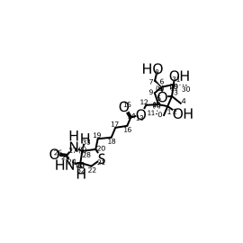 CC1(O)C2(C)O[C@](CO)(C[C@]1(C)COC(=O)CCCCC1SC[C@@H]3NC(=O)N[C@H]13)[C@@]2(C)O